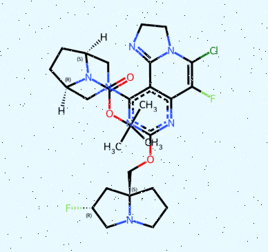 CC(C)(C)OC(=O)N1[C@@H]2CC[C@H]1CN(c1nc(OC[C@@]34CCCN3C[C@H](F)C4)nc3c1C1=NCCN1C(Cl)=C3F)C2